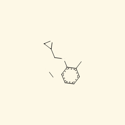 CCC.Cc1ccccc1OCC1CO1